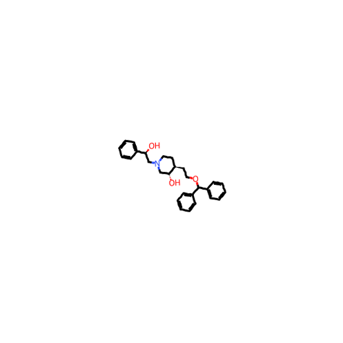 O[C@@H]1CN(C[C@H](O)c2ccccc2)CC[C@H]1CCOC(c1ccccc1)c1ccccc1